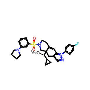 CO[C@H](C1CC1)C12Cc3cnn(-c4ccc(F)cc4)c3C=C1CCN(S(=O)(=O)c1cccc(N3CCCC3)c1)C2